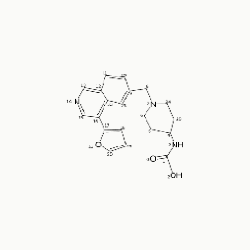 O=C(O)NC1CCN(Cc2ccc3cncc(-c4ccco4)c3c2)CC1